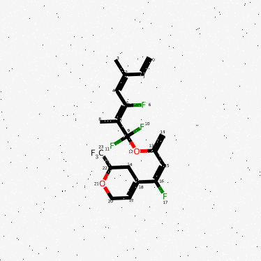 C=C/C(C)=C\C(F)=C(/C)C(F)(F)OC(=C)/C=C(/F)C1=CCOC(C(F)(F)F)C1